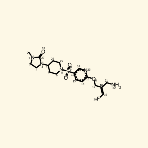 CN1CCN(C2CCN(S(=O)(=O)c3ccc(OC/C(=C\F)CN)nc3)CC2)C1=O